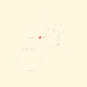 Cn1[nH]c(=O)c2c1CC1COCC2N1C(=O)OC(C)(C)C